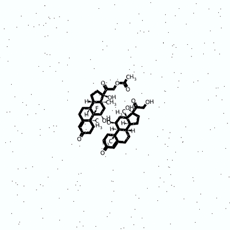 CC(=O)OCC(=O)[C@@]1(O)CC[C@H]2[C@@H]3CCC4=CC(=O)CC[C@]4(C)[C@@]3(F)[C@@H](O)C[C@@]21C.C[C@]12CCC(=O)C=C1CC[C@@H]1[C@@H]2[C@@H](O)C[C@@]2(C)[C@H]1CC[C@]2(O)C(=O)CO